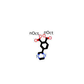 CCCCCCCCOC(=O)c1ccc(-c2cnccn2)cc1C(=O)OCCCCCCCC